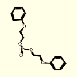 O=[PH](OCCOc1ccccc1)OCCOc1ccccc1